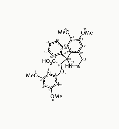 COc1cc(OC)nc(O[C@H](C(=O)O)[C@@]2(c3ccccc3)NCCc3cc(OC)c(OC)cc32)n1